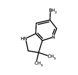 Bc1cnc2c(c1)NCC2(C)C